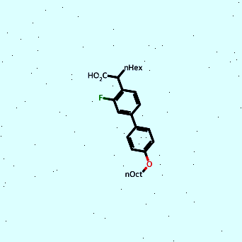 CCCCCCCCOc1ccc(-c2ccc(C(CCCCCC)C(=O)O)c(F)c2)cc1